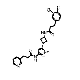 O=C(CCc1cccnc1)Nc1cc([C@H]2C[C@@H](NC(=O)CCc3ccc(Cl)c(Cl)c3)C2)[nH]n1